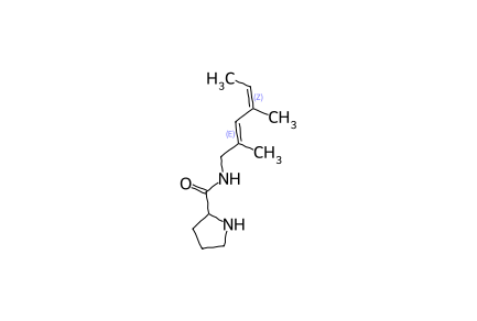 C/C=C(C)\C=C(/C)CNC(=O)C1CCCN1